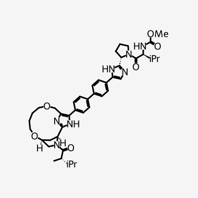 COC(=O)N[C@H](C(=O)N1CCC[C@H]1c1ncc(-c2ccc(-c3ccc(-c4[nH]c5nc4COCCCCO[C@H]4C[C@@H]5N(C(=O)[C@@H](C)C(C)C)C4)cc3)cc2)[nH]1)C(C)C